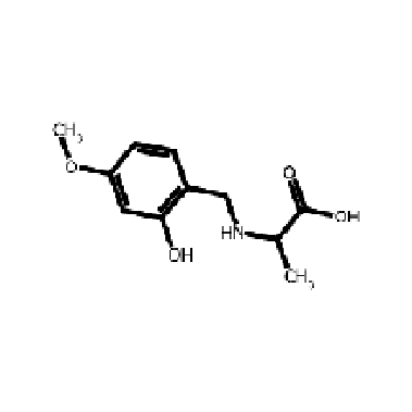 COc1ccc(CNC(C)C(=O)O)c(O)c1